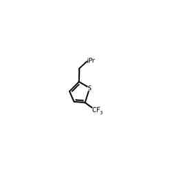 CC(C)Cc1ccc(C(F)(F)F)s1